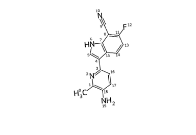 Cc1nc(-c2c[nH]c3c(C#N)c(F)ccc23)ccc1N